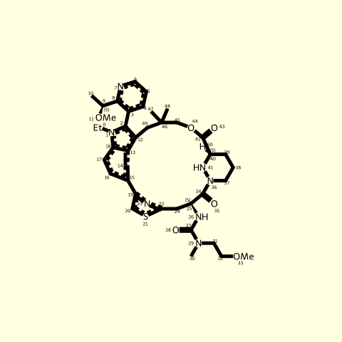 CCn1c(-c2cccnc2[C@H](C)OC)c2c3cc(ccc31)-c1csc(n1)C[C@H](NC(=O)N(C)CCOC)C(=O)N1CCC[C@H](N1)C(=O)OCC(C)(C)C2